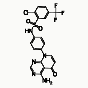 Nc1ncnc2c1c(=O)ccn2-c1ccc(NS(=O)(=O)c2cc(C(F)(F)F)ccc2Cl)cc1